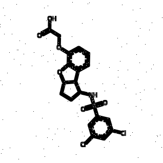 O=C(O)COc1cccc2c1OC1CCC(NS(=O)(=O)c3cc(Cl)cc(Cl)c3)C21